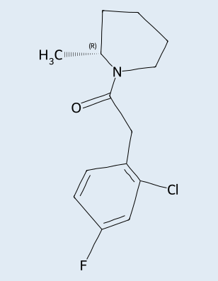 C[C@@H]1CCCCN1C(=O)Cc1ccc(F)cc1Cl